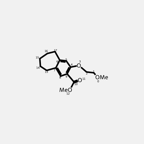 COCCOc1cc2c(cc1C(=O)OC)CCCCC2